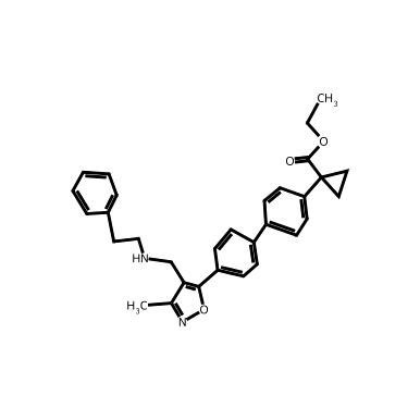 CCOC(=O)C1(c2ccc(-c3ccc(-c4onc(C)c4CNCCc4ccccc4)cc3)cc2)CC1